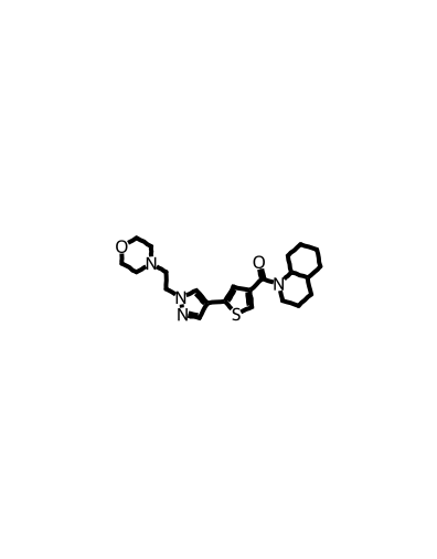 O=C(c1csc(-c2cnn(CCN3CCOCC3)c2)c1)N1CCCC2CCCCC21